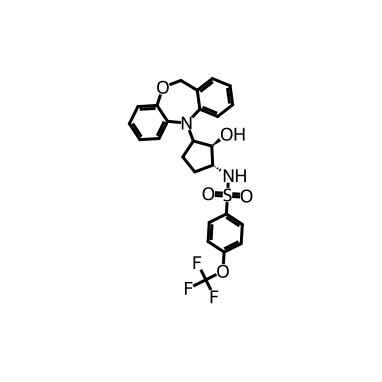 O=S(=O)(N[C@@H]1CCC(N2c3ccccc3COc3ccccc32)[C@H]1O)c1ccc(OC(F)(F)F)cc1